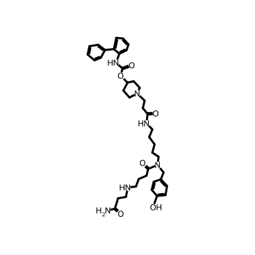 NC(=O)CCNCCCC(=O)N(CCCCCNC(=O)CCN1CCC(OC(=O)Nc2ccccc2-c2ccccc2)CC1)Cc1ccc(O)cc1